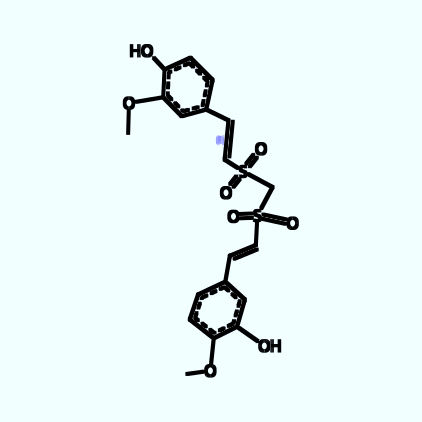 COc1ccc(C=CS(=O)(=O)CS(=O)(=O)/C=C/c2ccc(O)c(OC)c2)cc1O